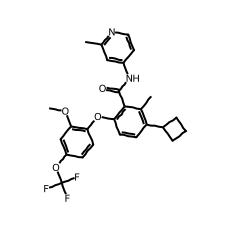 COc1cc(OC(F)(F)F)ccc1Oc1ccc(C2CCC2)c(C)c1C(=O)Nc1ccnc(C)c1